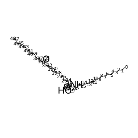 CCCCCCCCCCCCCCCCCC[C@@H](CO)NC(=O)CCCCCCCCCCC(=O)CCCCCCCCCCCCC